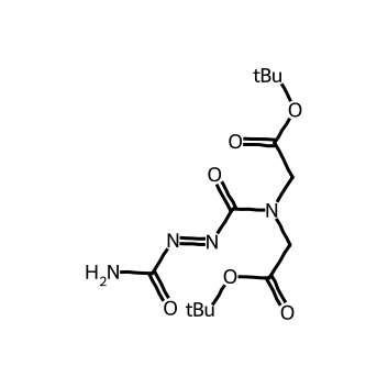 CC(C)(C)OC(=O)CN(CC(=O)OC(C)(C)C)C(=O)N=NC(N)=O